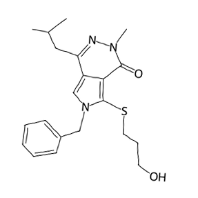 CC(C)Cc1nn(C)c(=O)c2c(SCCCO)n(Cc3ccccc3)cc12